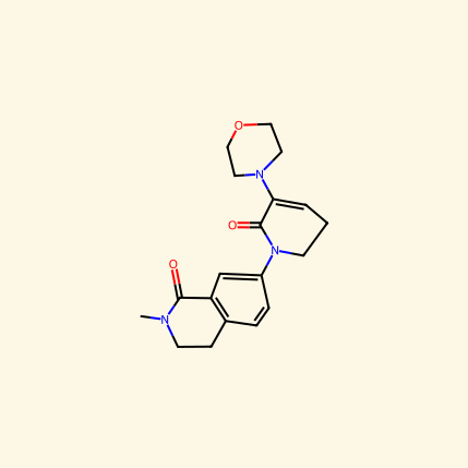 CN1CCc2ccc(N3CCC=C(N4CCOCC4)C3=O)cc2C1=O